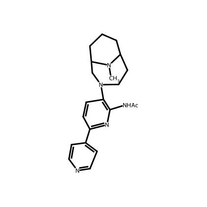 CC(=O)Nc1nc(-c2ccncc2)ccc1N1CCC2CCCC(C1)N2C